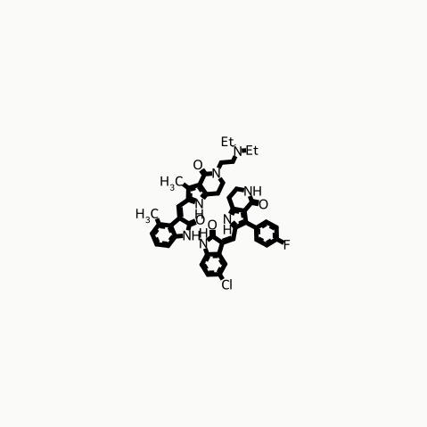 CCN(CC)CCN1CCc2[nH]c(/C=C3\C(=O)Nc4cccc(C)c43)c(C)c2C1=O.O=C1Nc2ccc(Cl)cc2/C1=C/c1[nH]c2c(c1-c1ccc(F)cc1)C(=O)NCC2